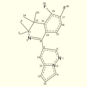 CC1(C)N=C(c2cnn3cccc3c2)c2ccc(F)c(F)c2C1(C)C